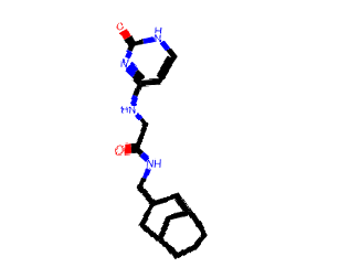 O=C(CNc1cc[nH]c(=O)n1)NCC1CC2CCCC(C2)C1